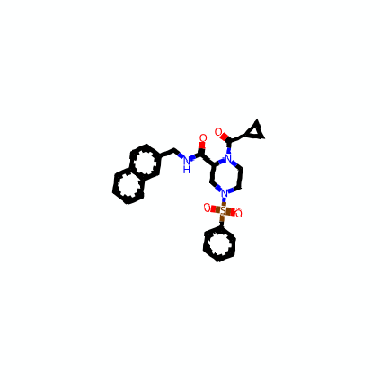 O=C(NCc1ccc2ccccc2c1)C1CN(S(=O)(=O)c2ccccc2)CCN1C(=O)C1CC1